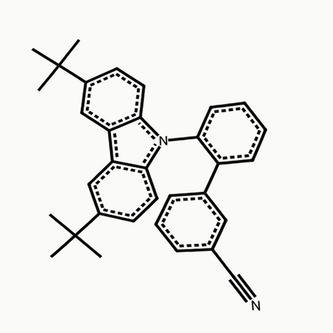 CC(C)(C)c1ccc2c(c1)c1cc(C(C)(C)C)ccc1n2-c1ccccc1-c1cccc(C#N)c1